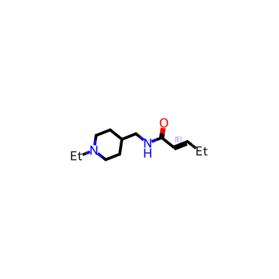 CC/C=C/C(=O)NCC1CCN(CC)CC1